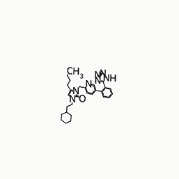 CCCCc1cn(CCC2CCCCC2)c(=O)n1Cc1ccc(-c2ccccc2-c2nnn[nH]2)cn1